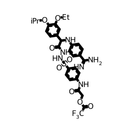 CCOc1cc(C(Nc2ccc(C(=N)N)cc2)C(=O)NNS(=O)(=O)c2ccc(NC(=O)COC(=O)C(F)(F)F)cc2)ccc1OC(C)C